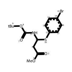 COC(=O)CC(NC(=O)OC(C)(C)C)Sc1ccc(Br)cc1